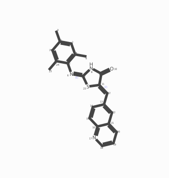 Cc1cc(C)c(/N=C2\NC(=O)/C(=C/c3ccc4ncccc4c3)S2)c(C)c1